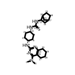 CN(C)c1nc(N[C@H]2CC[C@@H](NC(=S)NC3CC4CCC3C4)CC2)nc2c1CCCC2